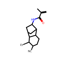 C=C(C)C(=O)NC1CC2CC1C1CCC(C#N)C(CC)C21